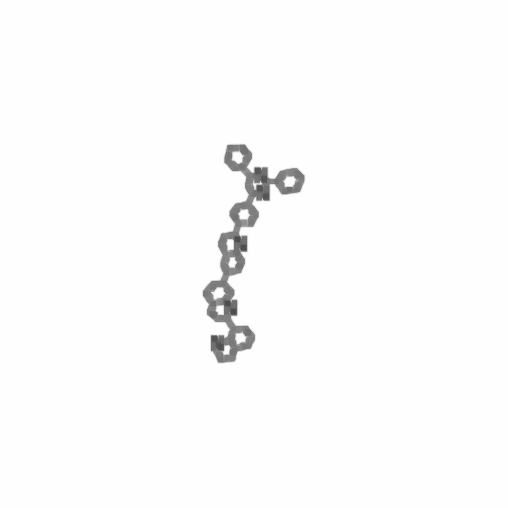 c1ccc(-c2cc(-c3ccc(-c4ccc5cc(-c6ccc7ccc(-c8cccc9cccnc89)nc7c6)ccc5n4)cc3)nc(-c3ccccc3)n2)cc1